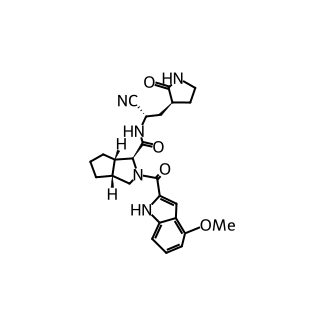 COc1cccc2[nH]c(C(=O)N3C[C@@H]4CCC[C@@H]4[C@H]3C(=O)N[C@H](C#N)C[C@@H]3CCNC3=O)cc12